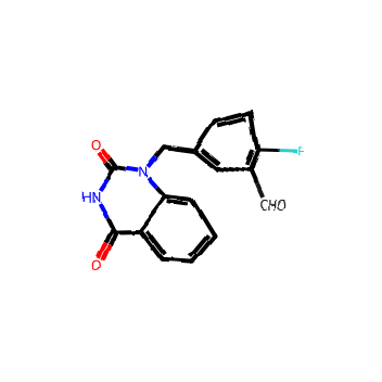 O=Cc1cc(Cn2c(=O)[nH]c(=O)c3ccccc32)ccc1F